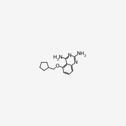 Nc1nc(N)c2c(OCC3CCCC3)cccc2n1